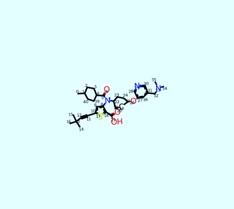 CC1CCC(C(=O)N(c2cc(C#CC(C)(C)C)sc2C(=O)O)C2CCC(Oc3cncc(CN(C)C)c3)CC2)CC1